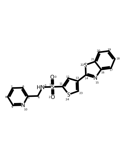 O=S(=O)(NCc1ccccn1)c1cc(-c2nc3ccccc3s2)cs1